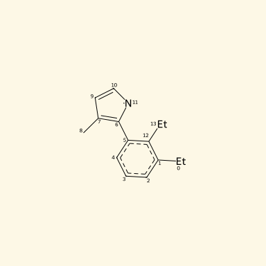 CCc1cccc(C2=C(C)C=C[N]2)c1CC